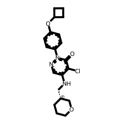 O=c1c(Cl)c(NC[C@H]2CCCOC2)cnn1-c1ccc(OC2CCC2)cc1